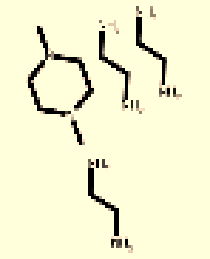 CN1CCN(C)CC1.NCCN.NCCN.NCCN